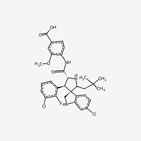 COc1cc(C(=O)O)ccc1NC(=O)[C@@H]1NC(CC(C)(C)C)[C@@]2(CNc3cc(Cl)ccc32)[C@H]1c1cccc(Cl)c1F